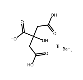 O=C(O)CC(O)(CC(=O)O)C(=O)O.[BaH2].[Ti]